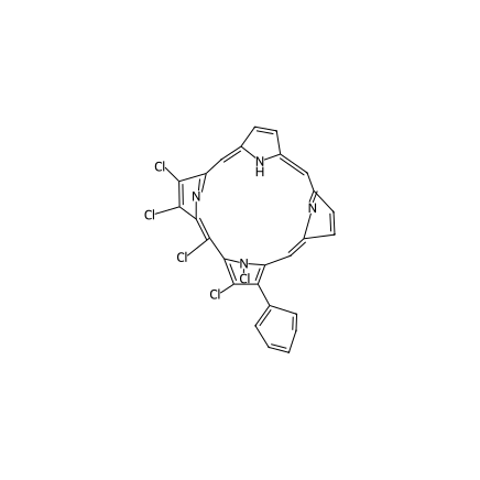 ClC1=C(Cl)c2nc1cc1ccc(cc3nc(cc4c(-c5ccccc5)c(Cl)c(c2Cl)n4Cl)C=C3)[nH]1